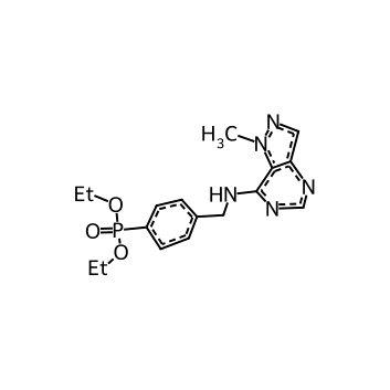 CCOP(=O)(OCC)c1ccc(CNc2ncnc3cnn(C)c23)cc1